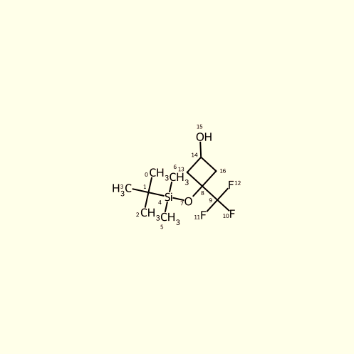 CC(C)(C)[Si](C)(C)OC1(C(F)(F)F)CC(O)C1